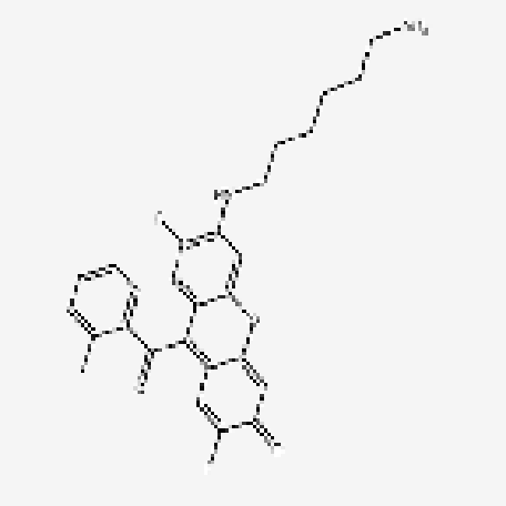 Cc1ccccc1C(=O)c1c2cc(F)c(=O)cc-2oc2cc(NCCCCCCN)c(F)cc12